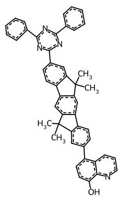 CC1(C)c2cc(-c3nc(-c4ccccc4)nc(-c4ccccc4)n3)ccc2-c2cc3c(cc21)-c1ccc(-c2ccc(O)c4ncccc24)cc1C3(C)C